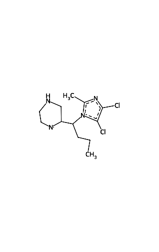 CCCC(C1CNCC[N]1)n1c(C)nc(Cl)c1Cl